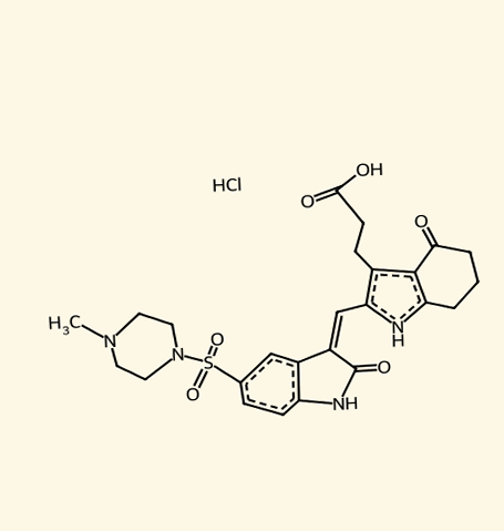 CN1CCN(S(=O)(=O)c2ccc3c(c2)C(=Cc2[nH]c4c(c2CCC(=O)O)C(=O)CCC4)C(=O)N3)CC1.Cl